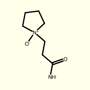 [NH]C(=O)CC[N+]1([O-])CCCC1